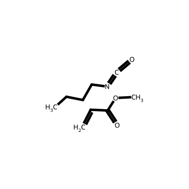 C=CC(=O)OC.CCCCN=C=O